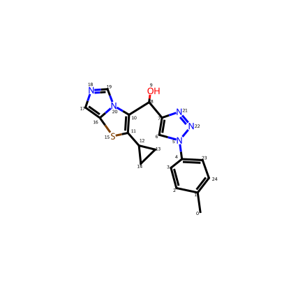 Cc1ccc(-n2cc(C(O)c3c(C4CC4)sc4cncn34)nn2)cc1